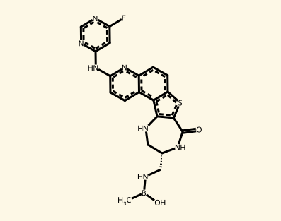 CB(O)NC[C@@H]1CNc2c(sc3ccc4nc(Nc5cc(F)ncn5)ccc4c23)C(=O)N1